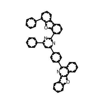 c1ccc(-c2cc(-c3ccc(-c4nc5c6ccccc6oc5c5ccccc45)cc3)nc(-c3cccc4c3oc3c(-c5ccccc5)cccc34)n2)cc1